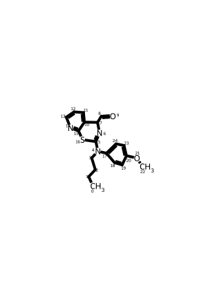 CCCCN(C1=NC(C=O)c2cccnc2S1)c1ccc(OC)cc1